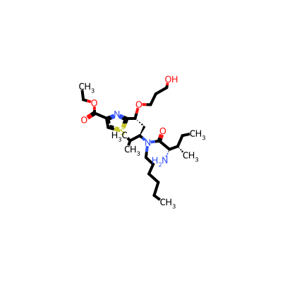 CCCCCCN(C(=O)[C@@H](N)[C@@H](C)CC)[C@H](C[C@@H](OCCCO)c1nc(C(=O)OCC)cs1)C(C)C